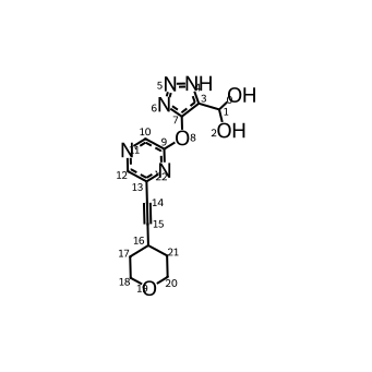 OC(O)c1[nH]nnc1Oc1cncc(C#CC2CCOCC2)n1